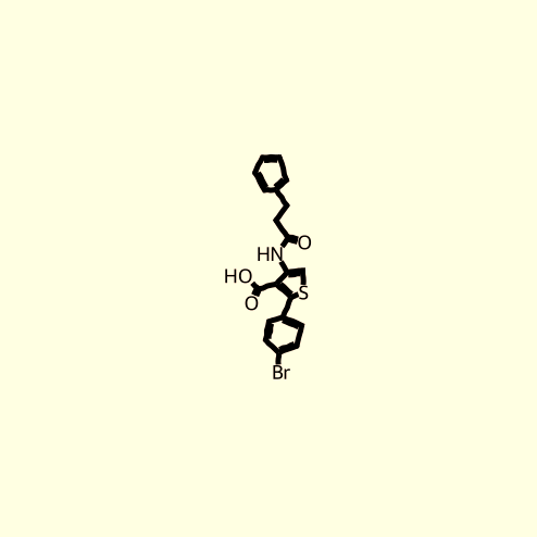 O=C(CCc1ccccc1)Nc1csc(-c2ccc(Br)cc2)c1C(=O)O